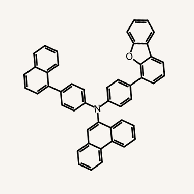 c1ccc2c(-c3ccc(N(c4ccc(-c5cccc6c5oc5ccccc56)cc4)c4cc5ccccc5c5ccccc45)cc3)cccc2c1